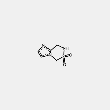 O=S1(=O)Cn2ccnc2CN1